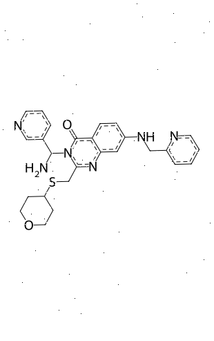 NC(c1cccnc1)n1c(CSC2CCOCC2)nc2cc(NCc3ccccn3)ccc2c1=O